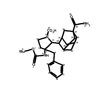 CC(C)(C)OC(=O)NC1(Cc2ccccc2)CCN(C(=O)O)C1C1C2CC3CC1CC(C(N)=O)(C3)C2